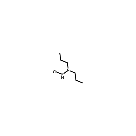 CCCN(CCC)PCl